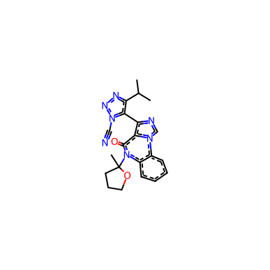 CC(C)c1nnn(C#N)c1-c1ncn2c1c(=O)n(C1(C)CCCO1)c1ccccc12